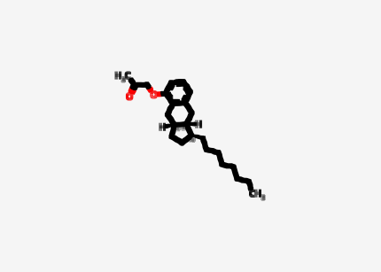 CCCCCCCC[C@H]1CC[C@@H]2Cc3c(cccc3OCC(C)=O)C[C@H]12